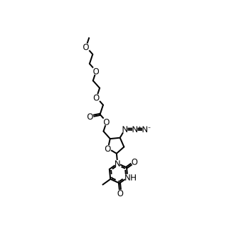 COCCOCCOCC(=O)OCC1OC(n2cc(C)c(=O)[nH]c2=O)CC1N=[N+]=[N-]